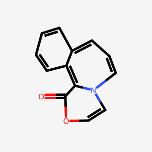 O=C1OC=CN2C=CC=c3ccccc3=C12